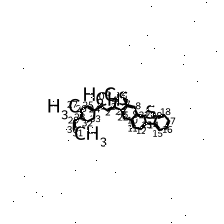 C=C(/C=c1\c(=C)sc2cc3c(ccc4c5ccccc5sc34)cc12)C1=CC(C)=C(/C=C\C)CC1